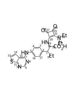 CCC(c1ccc(Nc2ncnc3sccc23)cc1)C(Nc1c(N(CC)CC)c(=O)c1=O)C(=O)O